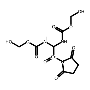 O=C(N[CH](NC(=O)OCO)[Co](=[O])[N]1C(=O)CCC1=O)OCO